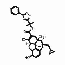 CC(C)(NC(=O)C1=C(O)[C@@H]2Oc3c(O)ccc4c3[C@@]23CCN(CC2CC2)[C@H](C4)C3(O)C1)c1nc(-c2ccccc2)no1